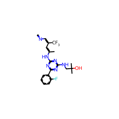 C=N/C=C(\C=C(/C)Nc1nc(NCC(C)(C)O)nc(-c2ccccc2F)n1)C(F)(F)F